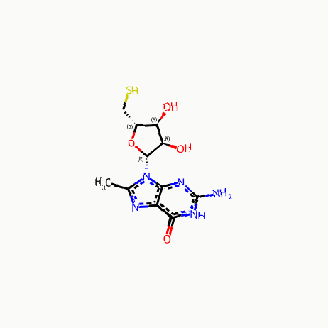 Cc1nc2c(=O)[nH]c(N)nc2n1[C@@H]1O[C@H](CS)[C@@H](O)[C@H]1O